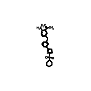 C=C(C)c1cc(Cc2cccc(-c3ccc(S(=O)(=O)C4CCCCC4)s3)c2)ccc1C